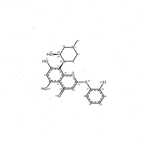 CN1CC[C@@H](c2c(O)cc(O)c3c(=O)cc(Sc4ccccc4Cl)oc23)[C@@H](O)C1